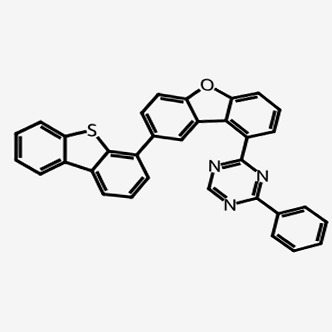 c1ccc(-c2ncnc(-c3cccc4oc5ccc(-c6cccc7c6sc6ccccc67)cc5c34)n2)cc1